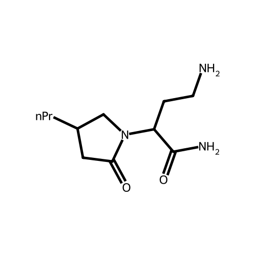 CCCC1CC(=O)N(C(CCN)C(N)=O)C1